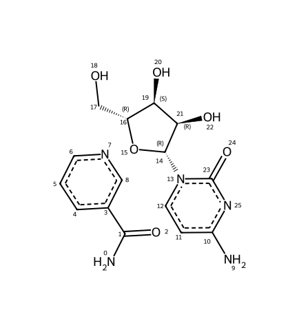 NC(=O)c1cccnc1.Nc1ccn([C@@H]2O[C@H](CO)[C@@H](O)[C@H]2O)c(=O)n1